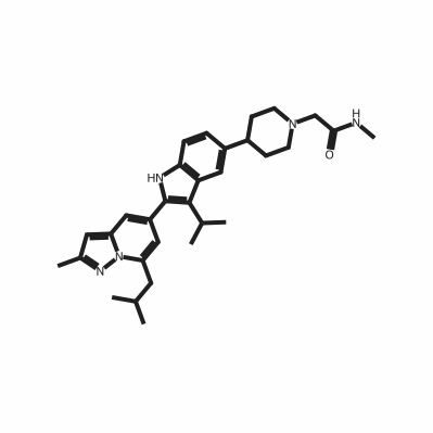 CNC(=O)CN1CCC(c2ccc3[nH]c(-c4cc(CC(C)C)n5nc(C)cc5c4)c(C(C)C)c3c2)CC1